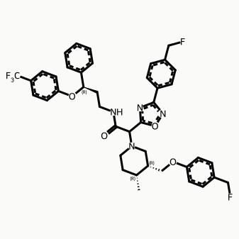 C[C@@H]1CCN(C(C(=O)NCC[C@@H](Oc2ccc(C(F)(F)F)cc2)c2ccccc2)c2nc(-c3ccc(CF)cc3)no2)C[C@@H]1COc1ccc(CF)cc1